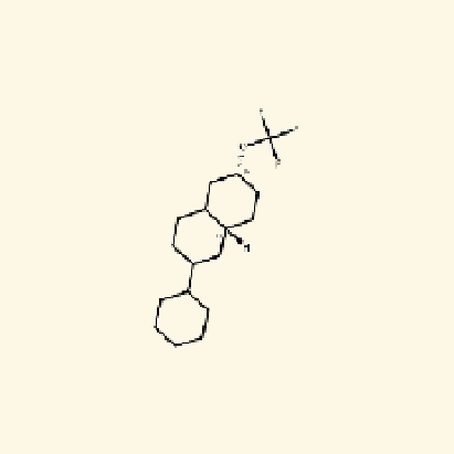 FC(F)(F)O[C@@H]1CC[C@@H]2CC(C3CCCCC3)CCC2C1